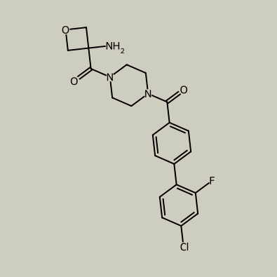 NC1(C(=O)N2CCN(C(=O)c3ccc(-c4ccc(Cl)cc4F)cc3)CC2)COC1